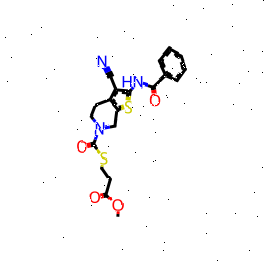 COC(=O)CCSC(=O)N1CCc2c(sc(NC(=O)c3ccccc3)c2C#N)C1